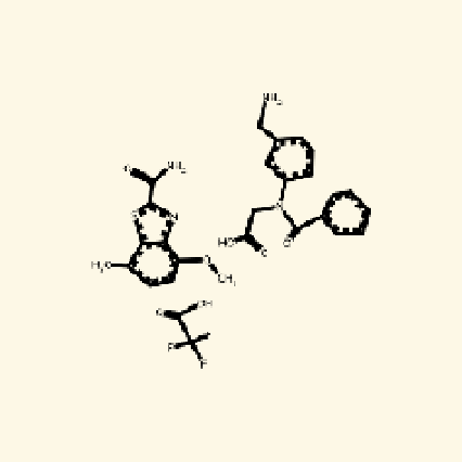 COc1ccc(C)c2sc(C(N)=O)nc12.NCc1cccc(N(CC(=O)O)C(=O)c2ccccc2)c1.O=C(O)C(F)(F)F